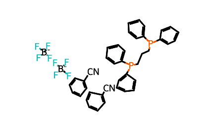 F[B-](F)(F)F.F[B-](F)(F)F.N#Cc1ccccc1.N#Cc1ccccc1.c1ccc(P(CCCP(c2ccccc2)c2ccccc2)c2ccccc2)cc1